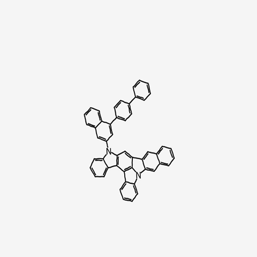 c1ccc(-c2ccc(-c3cc(-n4c5ccccc5c5c6c7ccccc7n7c8cc9ccccc9cc8c(cc54)c67)cc4ccccc34)cc2)cc1